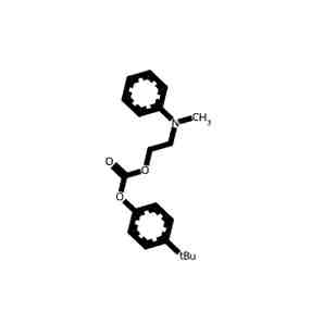 CN(CCOC(=O)Oc1ccc(C(C)(C)C)cc1)c1ccccc1